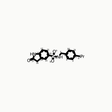 CC(C)c1ccc(CNS(=O)(=O)c2ccc3c(c2)CC(=O)N3)cc1